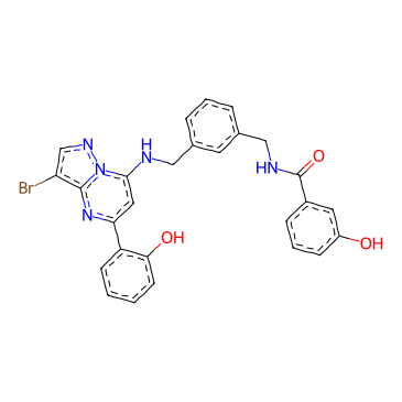 O=C(NCc1cccc(CNc2cc(-c3ccccc3O)nc3c(Br)cnn23)c1)c1cccc(O)c1